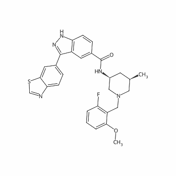 COc1cccc(F)c1CN1C[C@H](C)C[C@H](NC(=O)c2ccc3[nH]nc(-c4ccc5ncsc5c4)c3c2)C1